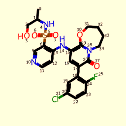 CC(CO)NS(=O)(=O)c1cnccc1Nc1cc(-c2cc(Cl)ccc2F)c(=O)n2c1OCCCC2